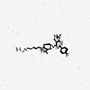 Cc1nn(CCCCCN)c2c1CN(c1nc(-c3ccc(F)cc3)nc3c1cnn3C)CC2